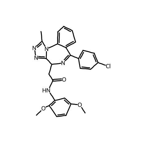 COc1ccc(OC)c(NC(=O)CC2N=C(c3ccc(Cl)cc3)c3ccccc3-n3c(C)nnc32)c1